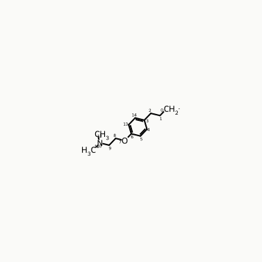 [CH2]CCc1ccc(OCCN(C)C)cc1